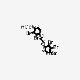 CCCCCCCCc1ccc(OCCOc2ccc(Br)c(Br)c2Br)c(Br)c1Br